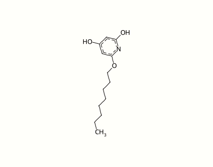 CCCCCCCCOc1cc(O)cc(O)n1